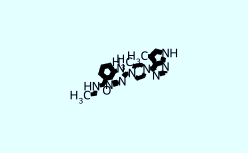 CCNC(=O)c1cccc(NC(=NC#N)N2CCN(c3ncnc4[nH]cc(C)c34)C[C@@H]2C)c1